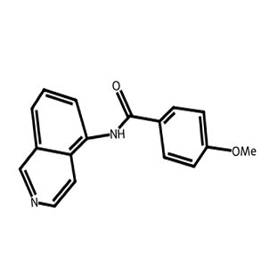 COc1ccc(C(=O)Nc2cccc3cnccc23)cc1